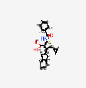 O=C(Nc1sc(C2CC2)c(C2Cc3ccccc3C2)c1C(O)O)c1ccccc1